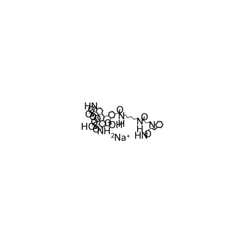 CNOCc1cc2ccccc2n1CCC(=O)NCCCCCNC(=O)c1ccc(-c2c3ccc(=N)c(S(=O)(=O)[O-])c-3oc3c(S(=O)(=O)O)c(N)ccc23)c(C(=O)O)c1.[Na+]